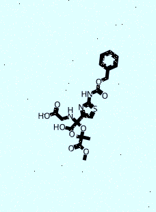 COC(=O)C(C)(C)OC(NCC(=O)O)(C(=O)O)c1csc(NC(=O)OCc2ccccc2)n1